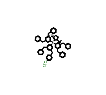 CC(C)(C)C1=CC[C]([Ti+3])=C1[Si](c1cc(Cc2ccccc2)cc(Cc2ccccc2)c1)(c1cc(Cc2ccccc2)cc(Cc2ccccc2)c1)c1cc(Cc2ccccc2)cc(Cc2ccccc2)c1.[Cl-].[Cl-].[Cl-]